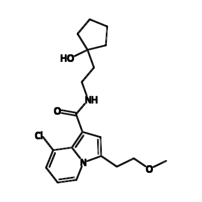 COCCc1cc(C(=O)NCCC2(O)CCCC2)c2c(Cl)cccn12